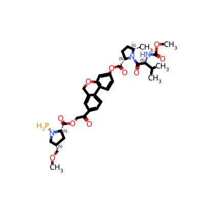 COC[C@H]1C[C@@H](C(=O)OCC(=O)c2ccc3c(c2)COc2cc(OC(=O)[C@@H]4CC[C@H](C)N4C(=O)[C@@H](NC(=O)OC)C(C)C)ccc2-3)N(P)C1